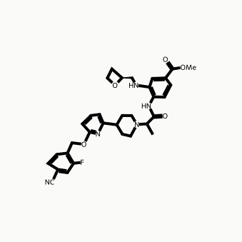 COC(=O)c1ccc(NC(=O)C(C)N2CCC(c3cccc(OCc4ccc(C#N)cc4F)n3)CC2)c(NC[C@@H]2CCO2)c1